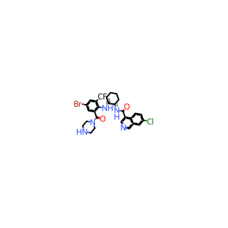 O=C(N[C@H]1CCCC[C@H]1Nc1c(C(=O)N2CCNCC2)cc(Br)cc1C(F)(F)F)c1cncc2cc(Cl)ccc12